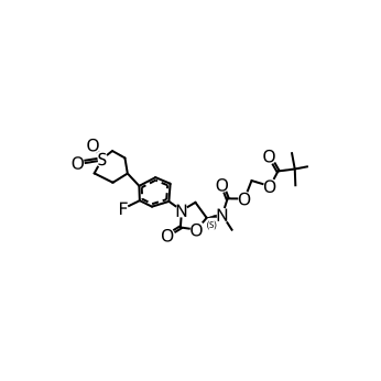 CN(C(=O)OCOC(=O)C(C)(C)C)[C@@H]1CN(c2ccc(C3CCS(=O)(=O)CC3)c(F)c2)C(=O)O1